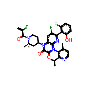 C=C(F)C(=O)N1CCC(n2c(=O)c(=O)n(-c3c(C)ccnc3C(C)C)c3nc(-c4c(O)cccc4F)c(F)cc32)C[C@H]1C